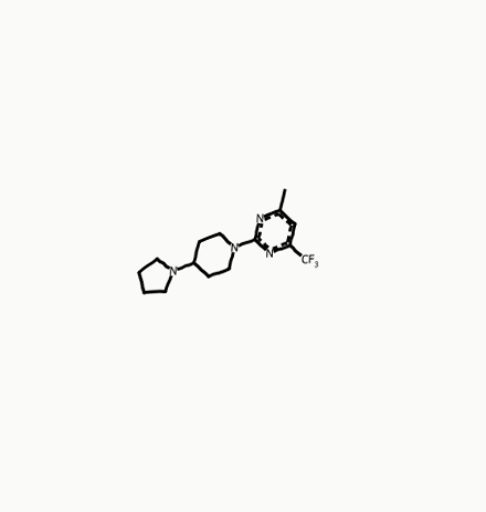 Cc1cc(C(F)(F)F)nc(N2CCC(N3CCCC3)CC2)n1